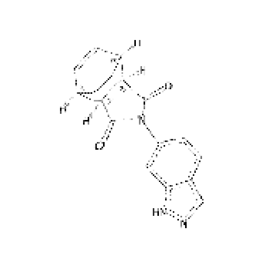 O=C1[C@@H]2[C@H](C(=O)N1c1ccc3cn[nH]c3c1)[C@@H]1C=C[C@H]2CC1